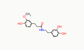 COc1cc(CCC(=O)NCCc2ccc(O)c(O)c2)ccc1O